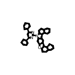 c1ccc(-c2cc(-c3ccccc3)nc(-n3c4cc5oc6ccc7ccccc7c6c5cc4c4c5ccccc5ccc43)n2)cc1